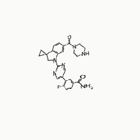 NC(=O)c1ccc(F)c(-c2cnc(N3CC4(CC4)c4ccc(C(=O)N5CCNCC5)cc43)nc2)c1